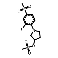 CS(=O)(=O)OC1CCN(c2ccc(S(C)(=O)=O)cc2F)C1